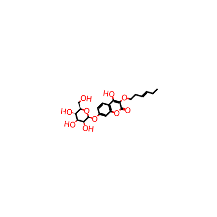 CCC=CCCOc1c(O)c2ccc(O[C@@H]3O[C@H](CO)[C@@H](O)[C@H](O)[C@@H]3O)cc2oc1=O